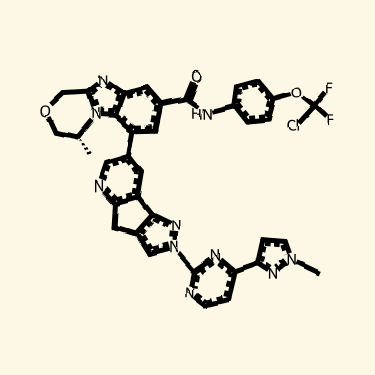 C[C@@H]1COCc2nc3cc(C(=O)Nc4ccc(OC(F)(F)Cl)cc4)cc(-c4cnc5c(c4)-c4nn(-c6nccc(-c7ccn(C)n7)n6)cc4C5)c3n21